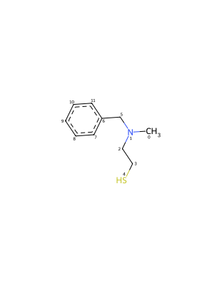 CN(CCS)Cc1ccccc1